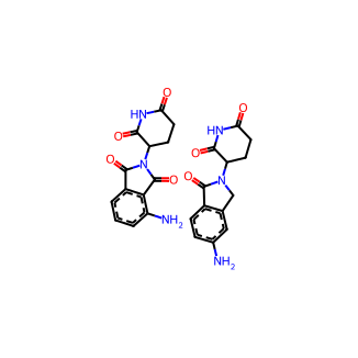 Nc1ccc2c(c1)CN(C1CCC(=O)NC1=O)C2=O.Nc1cccc2c1C(=O)N(C1CCC(=O)NC1=O)C2=O